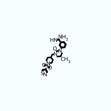 CC1CN(CC2CCN(S(=O)(=O)c3cnsc3)CC2)C(=O)N(c2cccc(C(=N)N)c2)C1